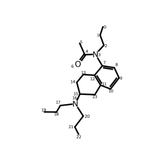 CCCN(C(C)=O)c1cccc2c1CCC(N(CCC)CCC)C2